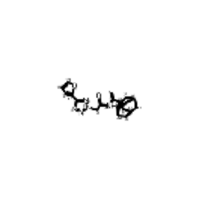 CC(NC(=O)Cn1nnc(-c2ccco2)n1)C12CC3CC(CC(C3)C1)C2